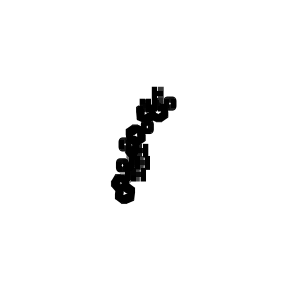 O=C1CCc2c(Oc3ccc4c(c3)[C@@H]3C(O4)[C@H]3NC(=O)N[C@@H]3CCc4ccccc43)ccnc2N1